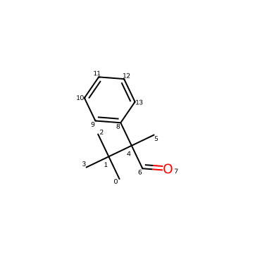 CC(C)(C)C(C)(C=O)c1ccccc1